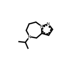 CC(C)N1CCCn2nccc2C1